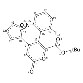 CC(C)(C)OC(=O)c1oc(=O)cc(-c2cccs2)c1-c1c(I)cccc1[N+](=O)[O-]